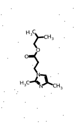 Cc1cn(CCC(=O)OCC(C)C)c(C)n1